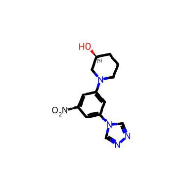 O=[N+]([O-])c1cc(N2CCC[C@H](O)C2)cc(-n2cnnc2)c1